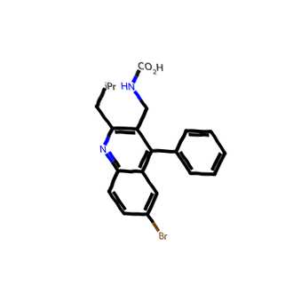 CC(C)Cc1nc2ccc(Br)cc2c(-c2ccccc2)c1CNC(=O)O